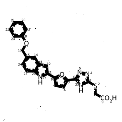 O=C(O)CSc1nnc(-c2ccc(-c3cc4cc(COc5ccccc5)ccc4[nH]3)o2)[nH]1